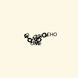 COc1ccc(-c2ccco2)cc1Nc1ncnc2ccc(NC3CCN(C=O)CC3)c(Cl)c12